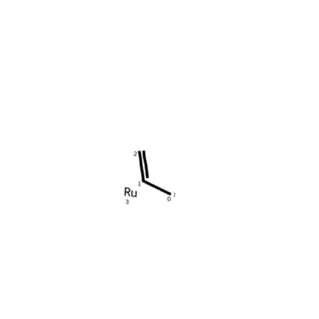 [CH]C=C.[Ru]